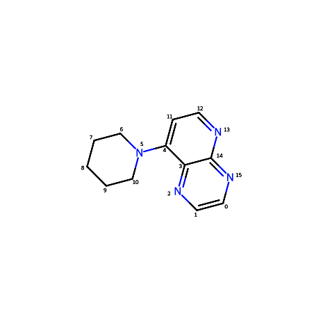 c1cnc2c(N3CCCCC3)ccnc2n1